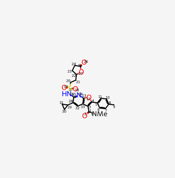 CNC(=O)c1c(-c2ccc(C)cc2)oc2nc(NS(=O)(=O)CCC3CCC(=O)O3)c(C3CC3)cc12